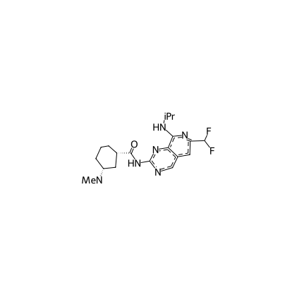 CN[C@@H]1CCC[C@H](C(=O)Nc2ncc3cc(C(F)F)nc(NC(C)C)c3n2)C1